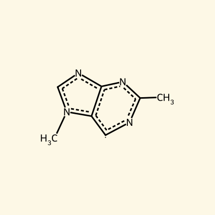 Cc1n[c]c2c(ncn2C)n1